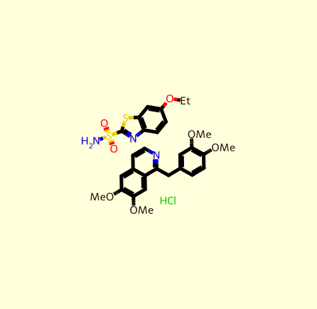 CCOc1ccc2nc(S(N)(=O)=O)sc2c1.COc1ccc(Cc2nccc3cc(OC)c(OC)cc23)cc1OC.Cl